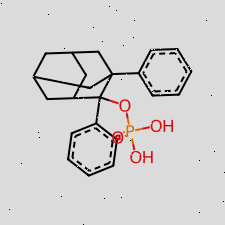 O=P(O)(O)OC1(c2ccccc2)C2CC3CC(C2)CC1(c1ccccc1)C3